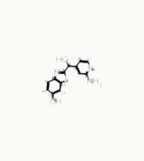 Nc1cc(C(O)c2nc3ccc(O)cc3s2)ccn1